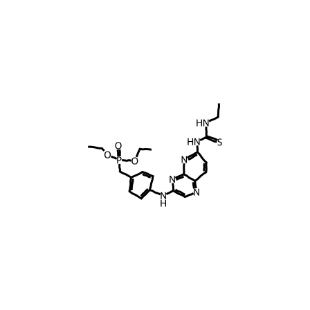 CCNC(=S)Nc1ccc2ncc(Nc3ccc(CP(=O)(OCC)OCC)cc3)nc2n1